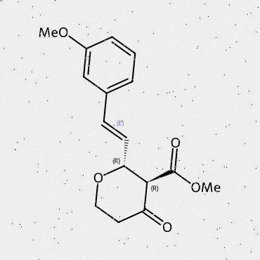 COC(=O)[C@H]1C(=O)CCO[C@@H]1/C=C/c1cccc(OC)c1